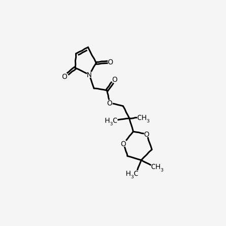 CC1(C)COC(C(C)(C)COC(=O)CN2C(=O)C=CC2=O)OC1